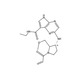 C=CC(=O)N1CC[C@@H](Nc2cnc3[nH]cc(C(=O)NCC)c3n2)C1COC